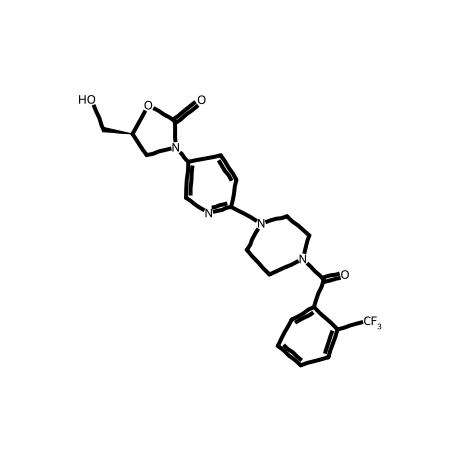 O=C(c1ccccc1C(F)(F)F)N1CCN(c2ccc(N3C[C@@H](CO)OC3=O)cn2)CC1